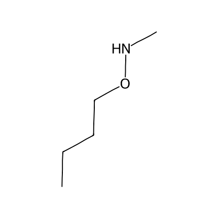 CCCCONC